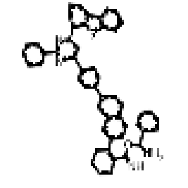 N=C(OC(N)c1ccccc1)C1=C(c2ccc3ccc(-c4ccc(-c5cc(-c6cccc7c6sc6ccccc67)nc(-c6ccccc6)n5)cc4)cc3c2)CCC=C1